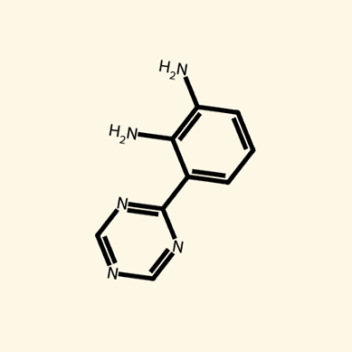 Nc1cccc(-c2ncncn2)c1N